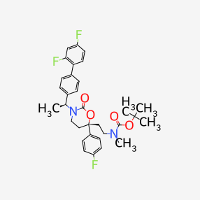 C[C@@H](c1ccc(-c2ccc(F)cc2F)cc1)N1CC[C@@](CCN(C)C(=O)OC(C)(C)C)(c2ccc(F)cc2)OC1=O